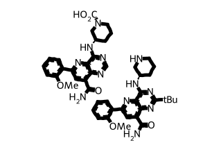 COc1ccccc1-c1cc(C(N)=O)c2nc(C(C)(C)C)nc(N[C@H]3CCCNC3)c2n1.COc1ccccc1-c1cc(C(N)=O)c2ncnc(N[C@H]3CCCN(C(=O)O)C3)c2n1